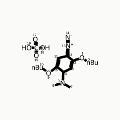 CCCCOC1=CC(N(C)C)C(OCCCC)=CC1=[N+]=[N-].[O]=[Cr](=[O])([OH])[OH]